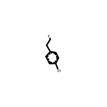 CCc1ccc(CCF)cc1